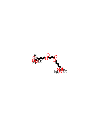 CCO[Si](CCCCCOC(=O)CCC(=O)OCCCCC[Si](OCC)(OCC)OCC)(OCC)OCC